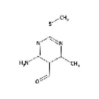 CSC1=NC(C)C(C=O)C(N)=N1